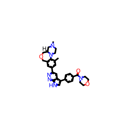 Cc1cc(-c2cc3c(-c4ccc(C(=O)N5CCOCC5)cc4)c[nH]c3nn2)cc2c1N1CCN(C)C[C@@H]1COC2